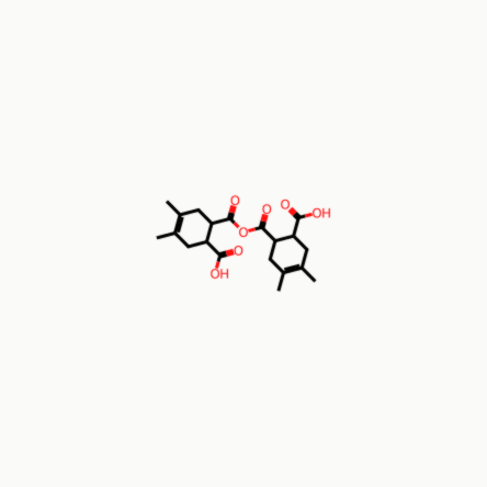 CC1=C(C)CC(C(=O)OC(=O)C2CC(C)=C(C)CC2C(=O)O)C(C(=O)O)C1